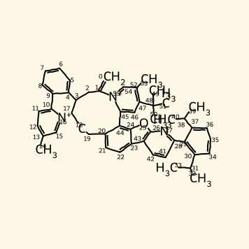 C=C1CC2c3ccccc3-c3ccc(C)c[n+]3C2CCc2ccc3c(oc4nc(-c5c(C(C)C)cccc5C(C)C)ccc43)c2-c2cc(C(C)(C)C)c(C)c[n+]21